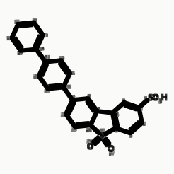 O=S(=O)(O)c1ccc2c(c1)-c1cc(-c3ccc(-c4ccccc4)cc3)ccc1S2(=O)=O